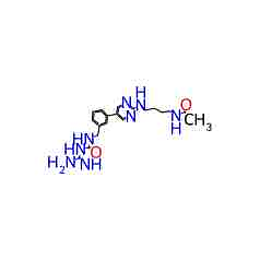 CC(=O)NCCCCNc1ncc(-c2cccc(CNC(=O)NC(=N)N)c2)cn1